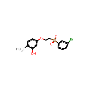 O=C(O)c1ccc(OCCS(=O)(=O)c2cccc(Br)c2)cc1O